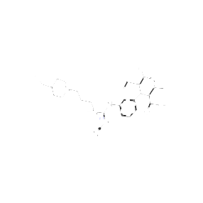 CCC1CCN(CCCN/C(=N\C#N)Nc2cccc(C3C(C(=O)O)=C(C)NC(C)=C3C(=O)O)c2)CC1